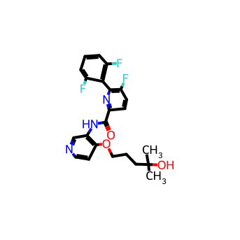 CC(C)(O)CCCOc1ccncc1NC(=O)c1ccc(F)c(-c2c(F)cccc2F)n1